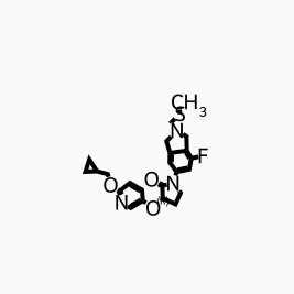 CSCN1Cc2cc(N3CC[C@@H](Oc4ccc(OCC5CC5)nc4)C3=O)cc(F)c2C1